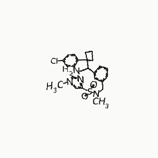 CN(Cc1cccc(C(CN)C2(c3ccc(Cl)cc3)CCC2)c1)S(=O)(=O)c1cn(C)cn1